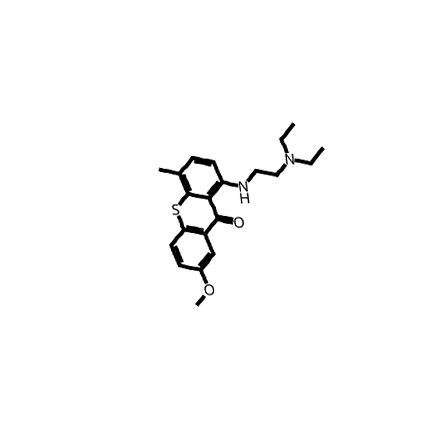 CCN(CC)CCNc1ccc(C)c2sc3ccc(OC)cc3c(=O)c12